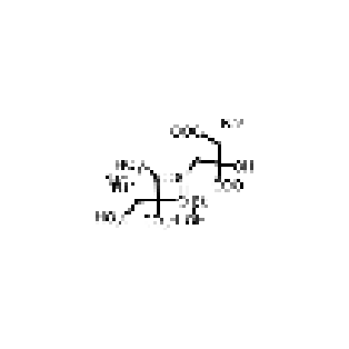 CCO.O=C(O)CC(O)(CC(=O)O)C(=O)O.O=C([O-])CC(O)(CC(=O)[O-])C(=O)[O-].[Na+].[Na+].[Na+]